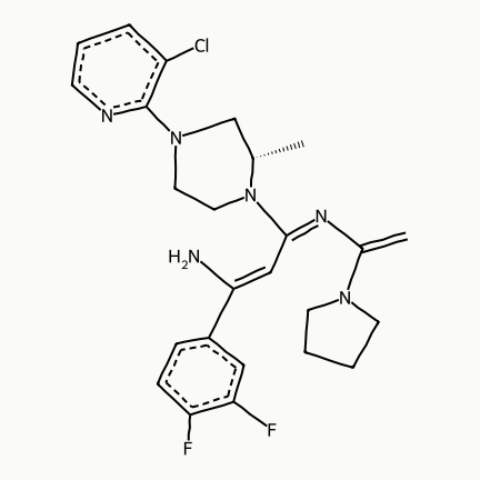 C=C(/N=C(\C=C(/N)c1ccc(F)c(F)c1)N1CCN(c2ncccc2Cl)C[C@@H]1C)N1CCCC1